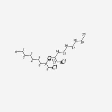 CCCCCCCC(CCl)OC(CCl)CCCCCCC